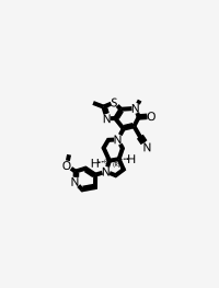 COc1cc(N2CC[C@@H]3CN(c4c(C#N)c(=O)n(C)c5sc(C)nc45)CC[C@@H]32)ccn1